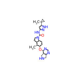 Cc1c(Oc2ncnc3c2CNC3)ccc2c1ccn2C(=O)Nc1cc(C2(C)CC2)[nH]n1